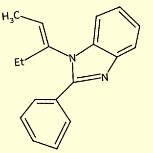 C/C=C(\CC)n1c(-c2ccccc2)nc2ccccc21